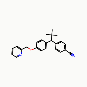 CC(C)(C)C(c1ccc(C#N)cc1)c1ccc(OCc2ccccn2)cc1